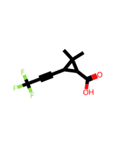 CC1(C)C(C#CC(F)(F)F)C1C(=O)O